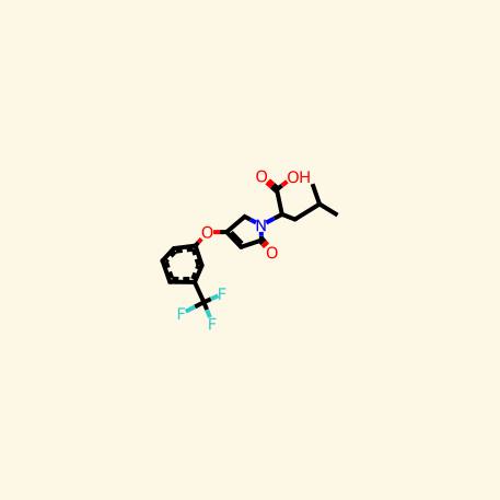 CC(C)CC(C(=O)O)N1CC(Oc2cccc(C(F)(F)F)c2)=CC1=O